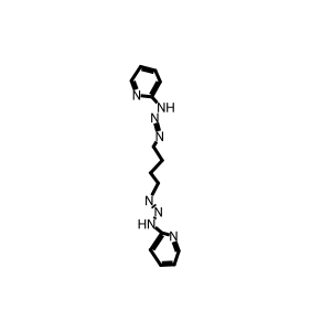 c1ccc(NN=NCCCCN=NNc2ccccn2)nc1